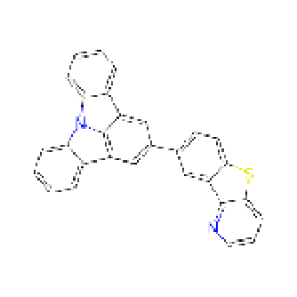 c1cnc2c(c1)sc1ccc(-c3cc4c5ccccc5n5c6ccccc6c(c3)c45)cc12